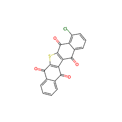 O=c1c2ccccc2c(=O)c2c1sc1c(=O)c3c(Cl)cccc3c(=O)c12